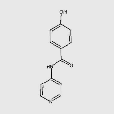 O=C(Nc1ccncc1)c1ccc(O)cc1